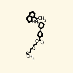 COCCOCCOC(=O)C1=CCC([C@H]2CCC[C@H](N[C@H](C)c3cccc4ccccc34)C2)C=C1